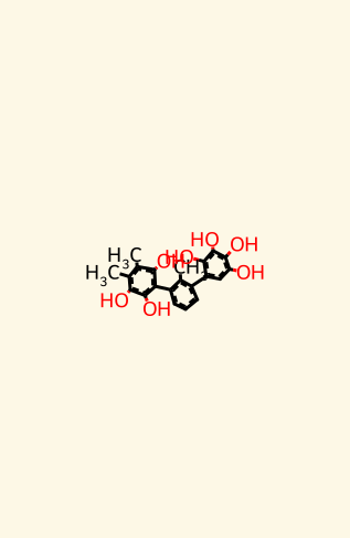 Cc1c(-c2cc(O)c(O)c(O)c2O)cccc1-c1c(O)c(C)c(C)c(O)c1O